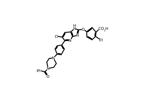 CCc1ccc(Oc2nc3nc(-c4ccc(N5CCN(C(=O)C(C)C)CC5)cc4)c(Cl)cc3[nH]2)cc1C(=O)O